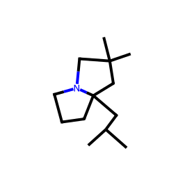 CC(C)CC12CCCN1CC(C)(C)C2